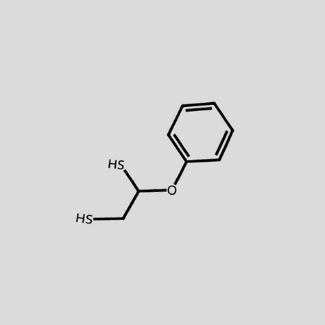 SCC(S)Oc1ccccc1